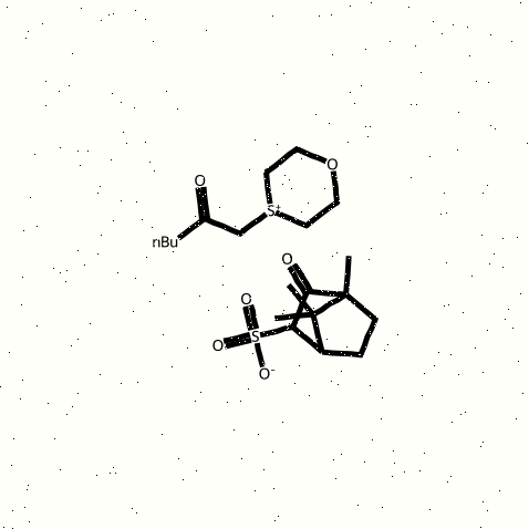 CC12CCC(C(S(=O)(=O)[O-])C1=O)C2(C)C.CCCCC(=O)C[S+]1CCOCC1